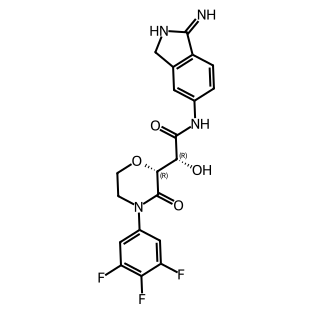 N=C1NCc2cc(NC(=O)[C@H](O)[C@H]3OCCN(c4cc(F)c(F)c(F)c4)C3=O)ccc21